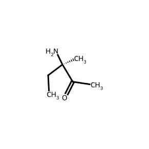 CC[C@@](C)(N)C(C)=O